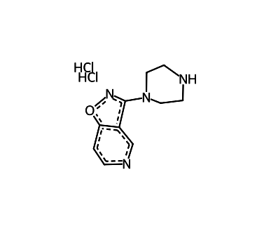 Cl.Cl.c1cc2onc(N3CCNCC3)c2cn1